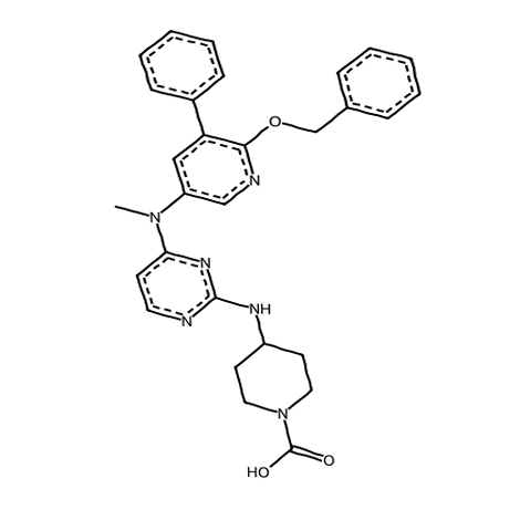 CN(c1cnc(OCc2ccccc2)c(-c2ccccc2)c1)c1ccnc(NC2CCN(C(=O)O)CC2)n1